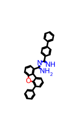 N=C(/N=C(\N)c1cccc2oc3c(-c4ccccc4)cccc3c12)c1ccc(-c2ccccc2)cc1